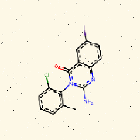 Cc1cccc(Cl)c1-n1c(N)nc2ccc(I)cc2c1=O